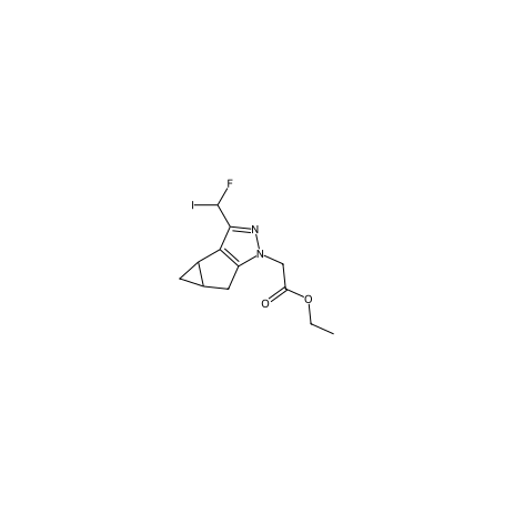 CCOC(=O)Cn1nc(C(F)I)c2c1CC1CC21